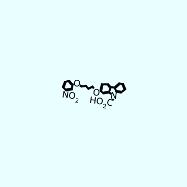 O=C(O)Cn1c2ccccc2c2ccc(OCCCCOc3cccc([N+](=O)[O-])c3)cc21